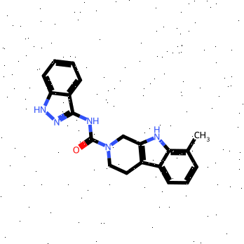 Cc1cccc2c3c([nH]c12)CN(C(=O)Nc1n[nH]c2ccccc12)CC3